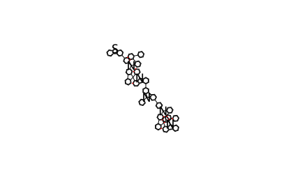 c1ccc(-c2ccccc2-c2ccccc2N(c2ccc(-c3ccc4c5cc(-c6cccc7c6c6cccc8c6n7-c6ccccc6C86c7ccccc7-c7ccc(N(c8ccc(-c9ccc%10sc%11ccccc%11c%10c9)cc8)c8ccccc8-c8ccccc8-c8ccccc8)cc76)ccc5n(-c5ccccc5)c4c3)cc2)c2ccc3c(c2)C2(c4ccccc4-3)c3ccccc3-n3c4ccccc4c4cccc2c43)cc1